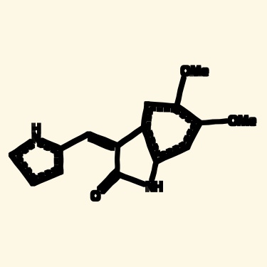 COc1cc2c(cc1OC)/C(=C/c1ccc[nH]1)C(=O)N2